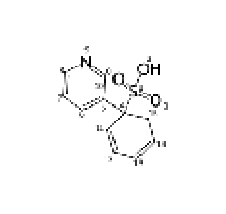 O=S(=O)(O)C1(c2cccnc2)C=CC=CC1